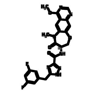 COc1ncnc2cc3c(cc12)N(C)C(=O)[C@@H](NC(=O)c1n[nH]c(Cc2cc(F)cc(F)c2)n1)CO3